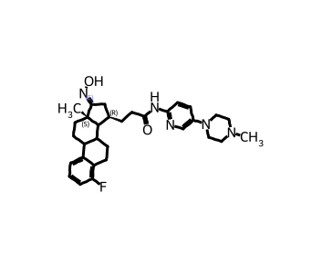 CN1CCN(c2ccc(NC(=O)CC[C@@H]3C/C(=N\O)[C@@]4(C)CCC5c6cccc(F)c6CCC5C34)nc2)CC1